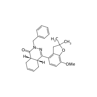 COc1ccc(C2=NN(Cc3ccccc3)C(=O)[C@H]3CC=CC[C@@H]23)c2c1OC(C)(C)C2